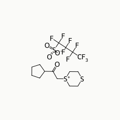 O=C(C[S+]1CCSCC1)C1CCCC1.O=S(=O)([O-])C(F)(F)C(F)(F)C(F)(F)C(F)(F)F